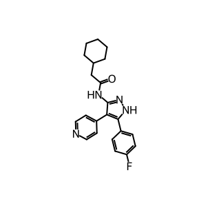 O=C(CC1CCCCC1)Nc1n[nH]c(-c2ccc(F)cc2)c1-c1ccncc1